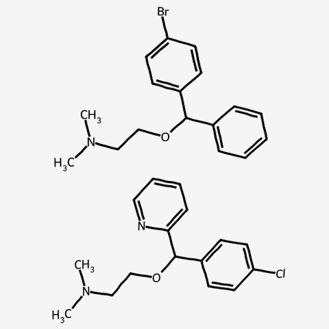 CN(C)CCOC(c1ccc(Cl)cc1)c1ccccn1.CN(C)CCOC(c1ccccc1)c1ccc(Br)cc1